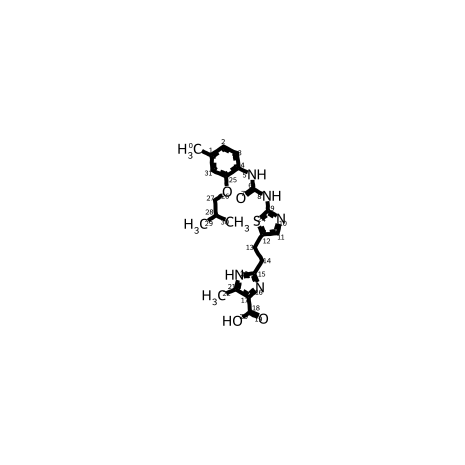 Cc1ccc(NC(=O)Nc2ncc(CCc3nc(C(=O)O)c(C)[nH]3)s2)c(OCC(C)C)c1